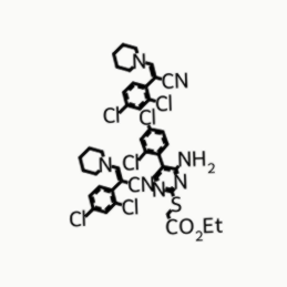 CCOC(=O)CSc1ncc(-c2ccc(Cl)cc2Cl)c(N)n1.N#CC(=CN1CCCCC1)c1ccc(Cl)cc1Cl.N#CC(=CN1CCCCC1)c1ccc(Cl)cc1Cl